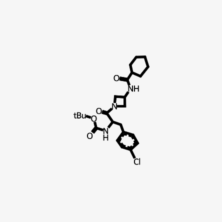 CC(C)(C)OC(=O)NC(Cc1ccc(Cl)cc1)C(=O)N1CC(NC(=O)C2CCCCC2)C1